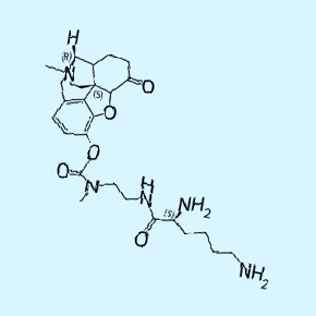 CN(CCNC(=O)[C@@H](N)CCCCN)C(=O)Oc1ccc2c3c1OC1C(=O)CCC4[C@@H](C2)N(C)CC[C@]314